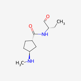 CC[C@@H](C=O)NC(=O)[C@H]1CC[C@H](NC)C1